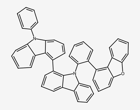 c1ccc(-n2c3ccccc3c3c(-c4cccc5c6ccccc6n(-c6ccccc6-c6cccc7oc8ccccc8c67)c45)cccc32)cc1